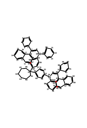 C(=C(\c1ccccc1)c1cccc2ccccc12)/N(c1ccccc1)c1ccc(C2(c3ccc(N(/C=C(/c4ccccc4)c4cccc5ccccc45)c4ccccc4)cc3)CCCCCC2)cc1